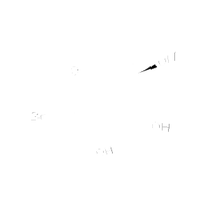 O[C@@H]1[C@H](O)[C@H](Br)OC[C@H]1O